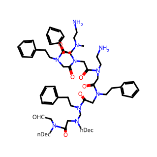 CCCCCCCCCCN(CC(=O)N(CC=O)CCCCCCCCCC)CN(CCc1ccccc1)C(=O)CN(CCc1ccccc1)C(=O)CN(CCN)C(=O)CN(CCc1ccccc1)C(=O)CN(CCc1ccccc1)C(=O)CN(C)CCN